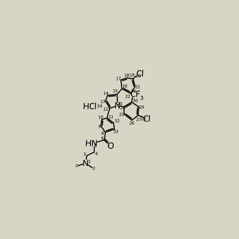 CN(C)CCNC(=O)c1ccc(-c2ccc(-c3ccc(Cl)cc3)n2-c2ccc(Cl)cc2C(F)(F)F)cc1.Cl